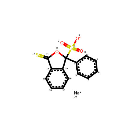 O=S(=O)([O-])C1(c2ccccc2)OC(=S)c2ccccc21.[Na+]